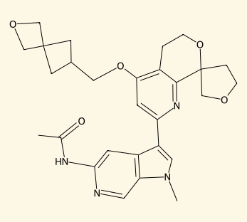 CC(=O)Nc1cc2c(-c3cc(OCC4CC5(COC5)C4)c4c(n3)C3(CCOC3)OCC4)cn(C)c2cn1